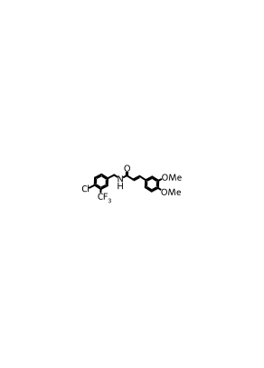 COc1ccc(/C=C/C(=O)NCc2ccc(Cl)c(C(F)(F)F)c2)cc1OC